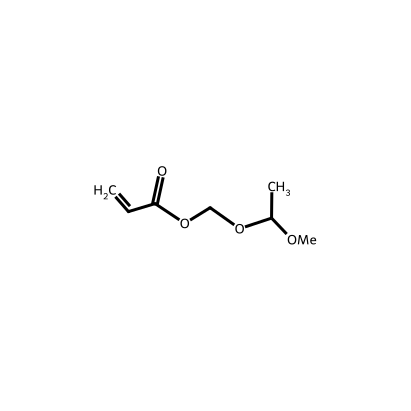 C=CC(=O)OCOC(C)OC